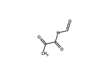 CC(=O)C(=O)[N]C=O